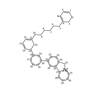 C1=CCCC(CCCCCCC2=CC=CC(c3cccc(-c4ccc5c(c4)-c4cccc[n+]4C5)c3)C2)=C1